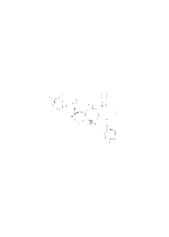 Nc1nc2c(cnn2C(=O)n2ccnc2)nc1C(=O)n1ccnc1